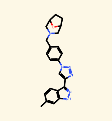 Cc1ccc2c(-c3cn(-c4ccc(CN5CC6CCC(C5)O6)cc4)nn3)n[nH]c2c1